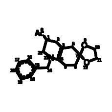 CC(=O)C1CC2=C(CCC3(C2)OCCO3)N(Cc2ccccc2)C1